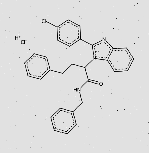 O=C(NCc1ccccc1)C(CCc1ccccc1)n1c(-c2ccc(Cl)cc2)nc2ccccc21.[Cl-].[H+]